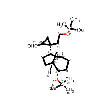 CC(C)(C)[Si](C)(C)OCCC1([C@H]2CC[C@H]3[C@@H](O[Si](C)(C)C(C)(C)C)CCC[C@]23C)CC1C=O